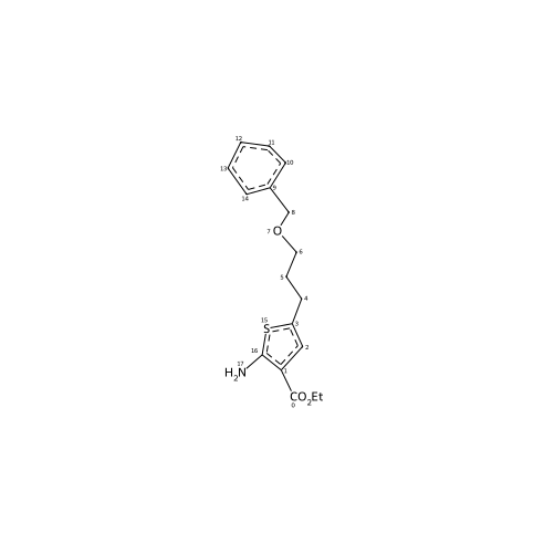 CCOC(=O)c1cc(CCCOCc2ccccc2)sc1N